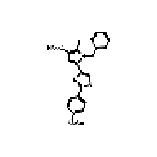 COc1ccc(-c2nc(-c3cc(C(=O)O)c(C)n3Cc3ccccn3)cs2)cc1